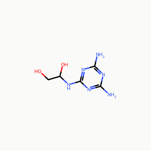 Nc1nc(N)nc(NC(O)CO)n1